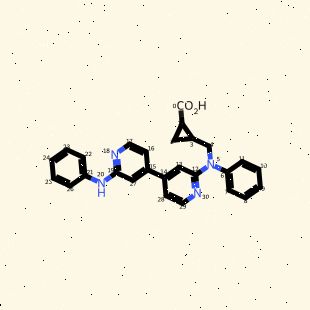 O=C(O)C1CC1CN(c1ccccc1)c1cc(-c2ccnc(Nc3ccccc3)c2)ccn1